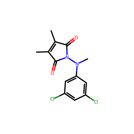 CC1=C(C)C(=O)N(N(C)c2cc(Cl)cc(Cl)c2)C1=O